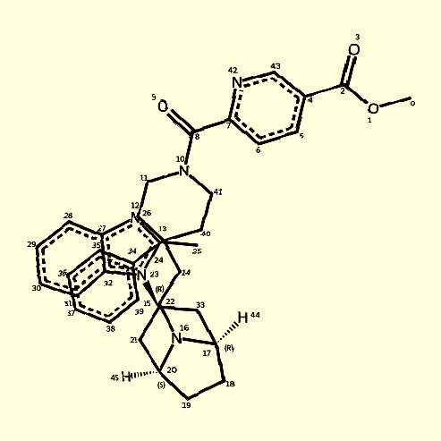 COC(=O)c1ccc(C(=O)N2CCC(CCN3[C@@H]4CC[C@H]3C[C@@H](n3c(C)nc5ccccc53)C4)(c3ccccc3)CC2)nc1